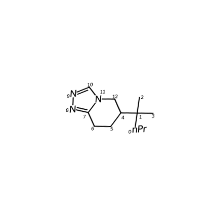 CCCC(C)(C)C1CCc2nncn2C1